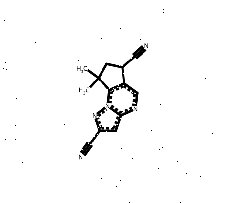 CC1(C)CC(C#N)c2cnc3cc(C#N)nn3c21